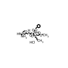 CCCCN(CCC(=O)OCC)C(=O)[C@H](CC(=O)NCC1CN(C(=N)N)CCO1)NC(=O)OCc1ccccc1.Cl